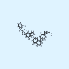 Cc1nccn1CCOc1ccc2c(c1)ncn2-c1ccc2cccc(N3CCC(N)CC3)c2n1